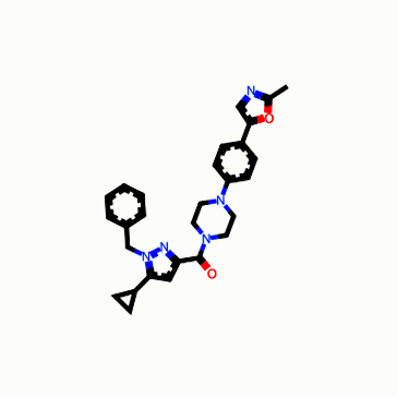 Cc1ncc(-c2ccc(N3CCN(C(=O)c4cc(C5CC5)n(Cc5ccccc5)n4)CC3)cc2)o1